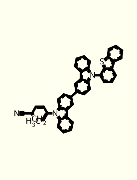 C=C(C#N)/C=C\C(=C/C)n1c2ccccc2c2cc(-c3ccc4c(c3)c3ccccc3n4-c3cccc4c3sc3ccccc34)ccc21